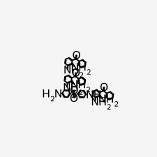 Nc1ccc(S(=O)(=O)c2ccc(N)cc2)cc1.Nc1cccc(C(=O)c2ccccc2)c1N.Nc1cccc(C(=O)c2ccccc2)c1N.Nc1cccc(C(=O)c2ccccc2)c1N